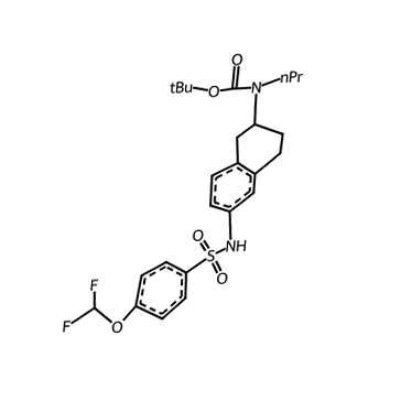 CCCN(C(=O)OC(C)(C)C)C1CCc2cc(NS(=O)(=O)c3ccc(OC(F)F)cc3)ccc2C1